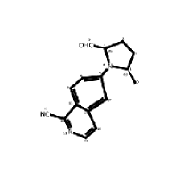 C[C@@H]1CC[C@H](C=O)N1c1ccc2c(C#N)nccc2c1